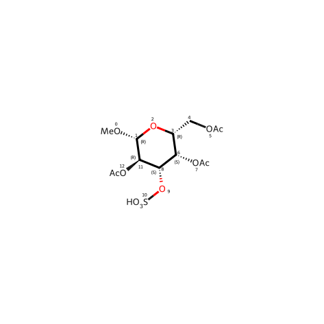 CO[C@@H]1O[C@H](COC(C)=O)[C@H](OC(C)=O)[C@H](OS(=O)(=O)O)[C@H]1OC(C)=O